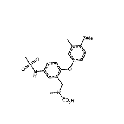 CSc1ccc(Oc2ccc(NS(C)(=O)=O)cc2CN(C)C(=O)O)cc1C